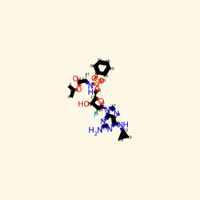 CC(C)OC(=O)[C@H](C)NP(=O)(OC[C@H]1O[C@@H](n2cnc3c(NC4CC4)nc(N)nc32)[C@@H](F)[C@@H]1O)Oc1ccccc1